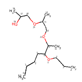 CCCCC(OCCC)C(C)OCC(C)OCC(C)O